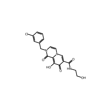 O=C(NCCO)c1cn2ccn(Cc3cccc(Cl)c3)c(=O)c2c(O)c1=O